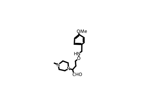 COc1ccc(CNOCCC(C=O)N2CCN(C)CC2)cc1